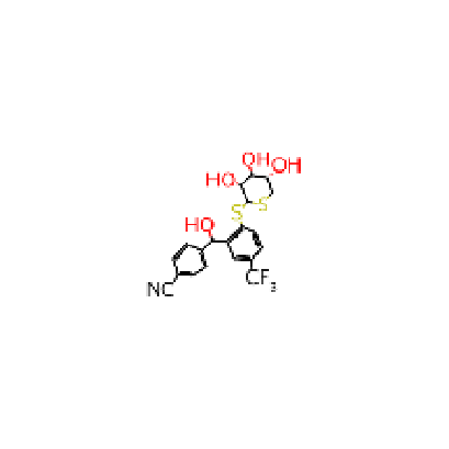 N#Cc1ccc(C(O)c2cc(C(F)(F)F)ccc2S[C@@H]2SC[C@@H](O)[C@H](O)[C@H]2O)cc1